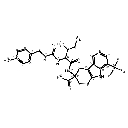 CCC(C)[C@H](NC(=O)NCc1ccc(C)cc1)C(=O)N[C@]1(C(=O)O)CCc2[nH]c3c(C(F)(F)F)cccc3c2C1